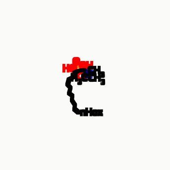 CCCCCC/C=C\CCCCC/C=C\CCC(O)(C[N+](C)(C)C)P(=O)(O)O